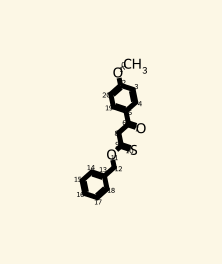 COc1ccc(C(=O)CC(=S)OCc2ccccc2)cc1